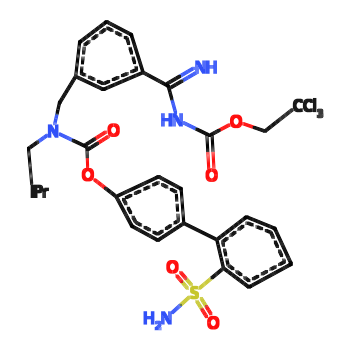 CC(C)CN(Cc1cccc(C(=N)NC(=O)OCC(Cl)(Cl)Cl)c1)C(=O)Oc1ccc(-c2ccccc2S(N)(=O)=O)cc1